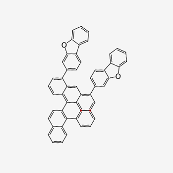 c1ccc(-c2c(-c3c4cccc(-c5ccc6c(c5)oc5ccccc56)c4cc4c(-c5ccc6c(c5)oc5ccccc56)cccc34)ccc3ccccc23)cc1